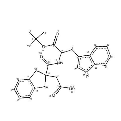 CC(C)(C)OC(=O)C(Cc1c[nH]c2ccccc12)NC(=O)C1(CC(=O)O)Cc2ccccc2C1